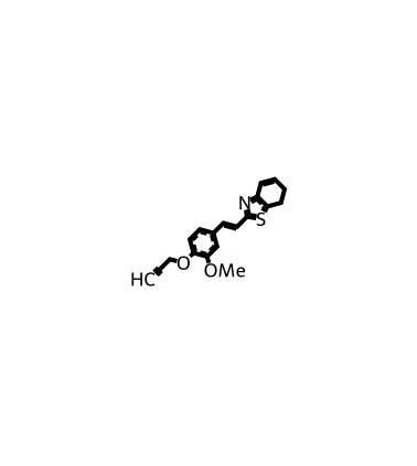 C#CCOc1ccc(/C=C/c2nc3c(s2)CCC=C3)cc1OC